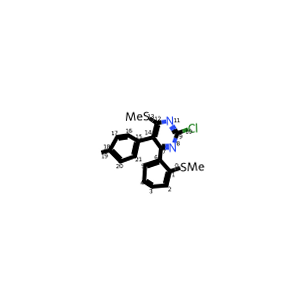 CSc1ccccc1-c1nc(Cl)nc(SC)c1-c1ccc(C)cc1